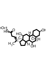 CCCCCCCCNC(=O)CCC(C)[C@H]1CC[C@H]2C3[C@H](O)C[C@@H]4C[C@H](O)CC[C@]4(C)[C@H]3C[C@H](O)[C@]12C